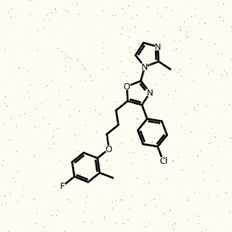 Cc1cc(F)ccc1OCCCc1oc(-n2ccnc2C)nc1-c1ccc(Cl)cc1